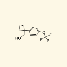 OCC1(c2ccc(OC(F)(F)F)cc2)CCC1